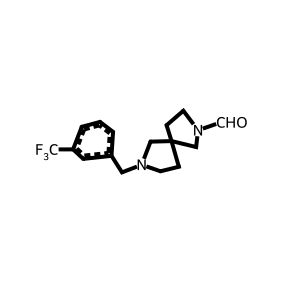 O=CN1CCC2(CCN(Cc3cccc(C(F)(F)F)c3)C2)C1